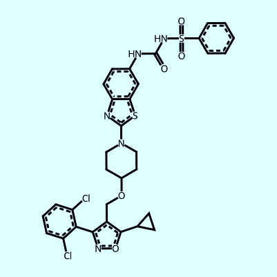 O=C(Nc1ccc2nc(N3CCC(OCc4c(-c5c(Cl)cccc5Cl)noc4C4CC4)CC3)sc2c1)NS(=O)(=O)c1ccccc1